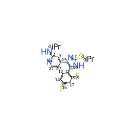 CC(C)Nc1cc(-c2nc(SC(C)C)[nH]c2-c2ccc(F)cc2F)ccn1